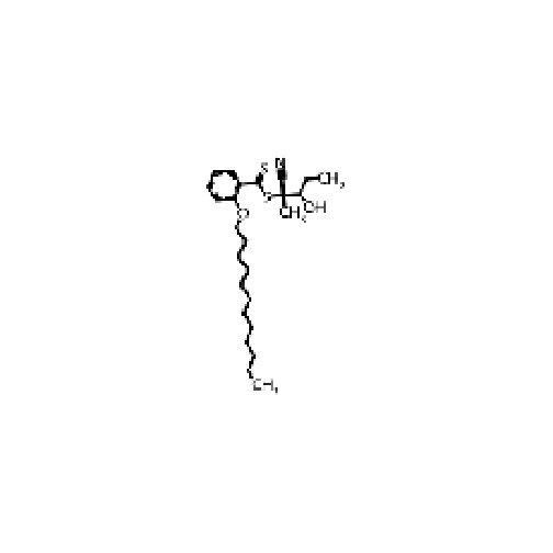 CCCCCCCCCCCCOc1ccccc1C(=S)SC(C)(C#N)C(O)CC